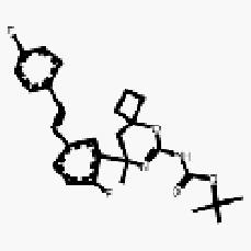 CC(C)(C)OC(=O)NC1=NC(C)(c2cc(C=Cc3ccc(F)cc3)ccc2F)CC2(CCC2)O1